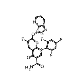 NC(=O)c1cn(-c2c(F)cc(F)cc2F)c2nc(On3nnc4cccnc43)c(F)cc2c1=O